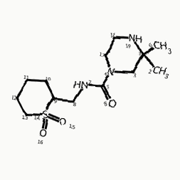 CC1(C)CN(C(=O)NCC2CCCCS2(=O)=O)CCN1